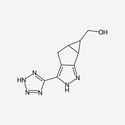 OCC1C2Cc3c(n[nH]c3-c3nn[nH]n3)C12